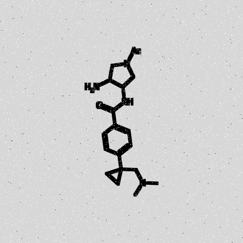 CC(=O)N1CC(N)C(NC(=O)c2ccc(C3(CN(C)C)CC3)cc2)C1